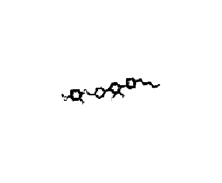 CCCCCc1ccc(-c2ccc(C3CCC(COc4ccc(OC)cc4F)CC3)c(F)c2F)cc1